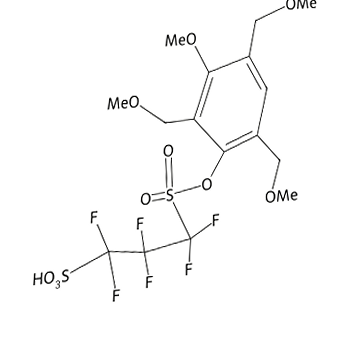 COCc1cc(COC)c(OS(=O)(=O)C(F)(F)C(F)(F)C(F)(F)S(=O)(=O)O)c(COC)c1OC